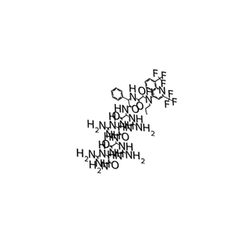 CCCN(c1cc(C(F)(F)F)nc2c(C(F)(F)F)cccc12)C(O)C(=O)NC(C(=O)NC(NC(=N)N)C(=O)NC(NC(=N)N)C(=O)NC(NC(=N)N)C(=O)NC(NC(=N)N)C(N)=O)c1ccccc1